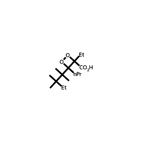 CCCC1(C(C)(C)C(C)(C)CC)OOC1(CC)C(=O)O